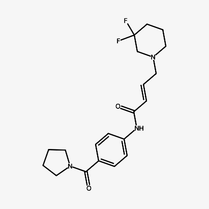 O=C(/C=C/CN1CCCC(F)(F)C1)Nc1ccc(C(=O)N2CCCC2)cc1